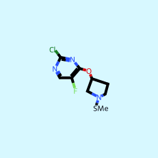 CSN1CCC(Oc2nc(Cl)ncc2F)C1